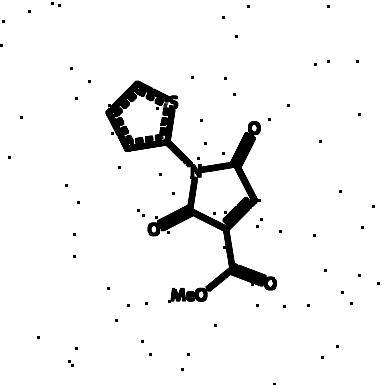 COC(=O)C1=CC(=O)N(c2cccs2)C1=O